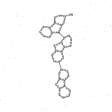 N#Cc1ccc2c3ccccc3n(-c3cccc4c3sc3ccc(-c5ccc6c(c5)sc5ccccc56)cc34)c2c1